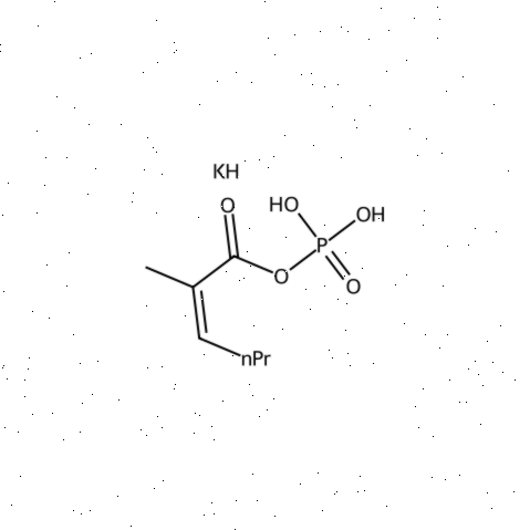 CCCC=C(C)C(=O)OP(=O)(O)O.[KH]